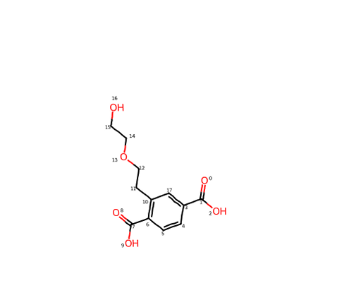 O=C(O)c1ccc(C(=O)O)c(CCOCCO)c1